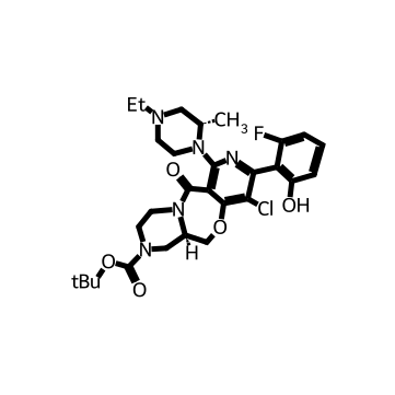 CCN1CCN(c2nc(-c3c(O)cccc3F)c(Cl)c3c2C(=O)N2CCN(C(=O)OC(C)(C)C)C[C@@H]2CO3)[C@@H](C)C1